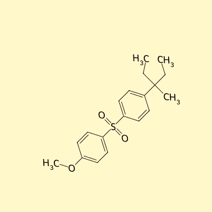 CCC(C)(CC)c1ccc(S(=O)(=O)c2ccc(OC)cc2)cc1